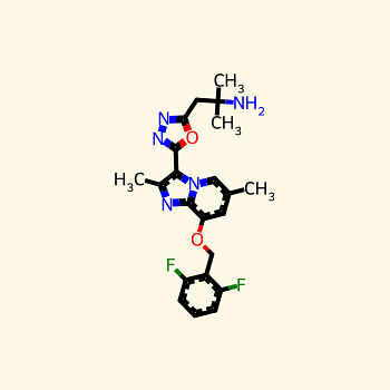 Cc1cc(OCc2c(F)cccc2F)c2nc(C)c(-c3nnc(CC(C)(C)N)o3)n2c1